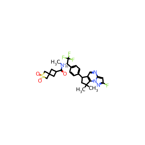 CN(C(=O)C1CC2(C1)CS(=O)(=O)C2)[C@@H](c1ccc(C2CC(C)(C)c3c2cnc2cc(F)nn32)cc1)C(F)(F)F